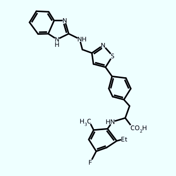 CCc1cc(F)cc(C)c1NC(Cc1ccc(-c2cc(CNc3nc4ccccc4[nH]3)ns2)cc1)C(=O)O